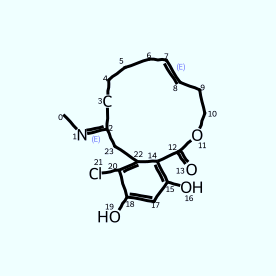 C/N=C1\CCCC/C=C/CCOC(=O)c2c(O)cc(O)c(Cl)c2C1